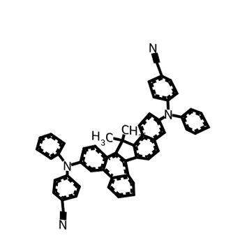 CC1(C)c2c(ccc3cc(N(c4ccccc4)c4ccc(C#N)cc4)ccc23)-c2c1c1ccc(N(c3ccccc3)c3ccc(C#N)cc3)cc1c1ccccc21